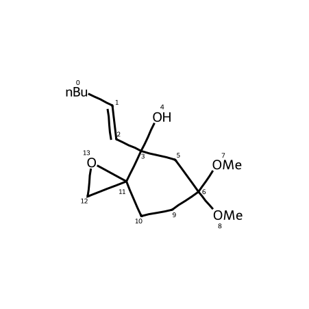 CCCCC=CC1(O)CC(OC)(OC)CCC12CO2